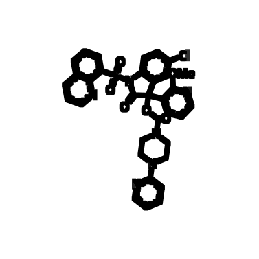 COc1ncccc1C1(OC(=O)N2CCN(c3ccccn3)CC2)C(=O)N(S(=O)(=O)c2cccc3cccnc23)c2ccc(Cl)cc21